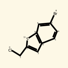 ClCc1cc2ccc(Br)cc2s1